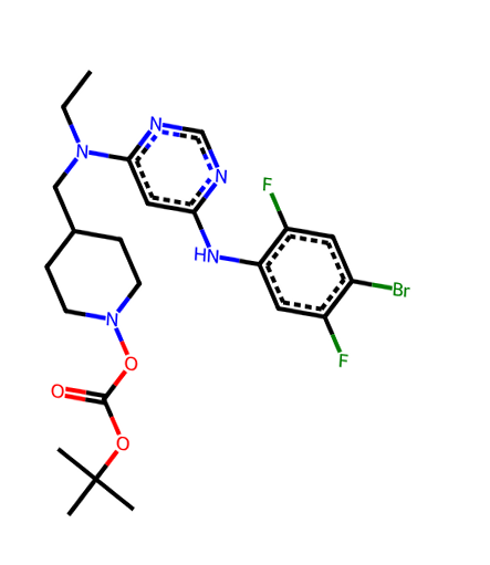 CCN(CC1CCN(OC(=O)OC(C)(C)C)CC1)c1cc(Nc2cc(F)c(Br)cc2F)ncn1